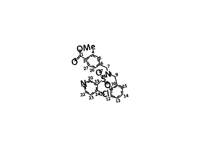 COC(=O)c1ccc(CN(Cc2ccccc2)S(=O)(=O)c2cnccc2Cl)cc1